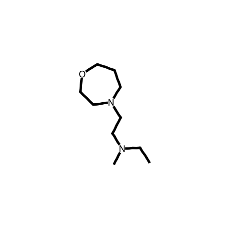 CCN(C)CCN1CCCOCC1